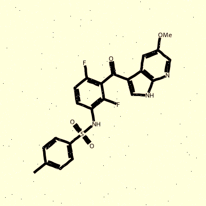 COc1cnc2[nH]cc(C(=O)c3c(F)ccc(NS(=O)(=O)c4ccc(C)cc4)c3F)c2c1